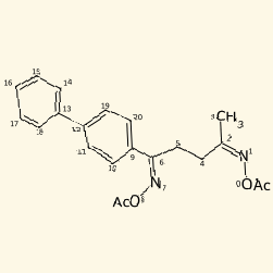 CC(=O)O/N=C(/C)CC/C(=N/OC(C)=O)c1ccc(-c2ccccc2)cc1